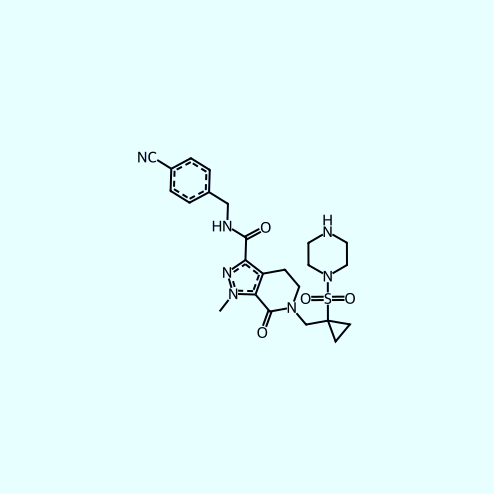 Cn1nc(C(=O)NCc2ccc(C#N)cc2)c2c1C(=O)N(CC1(S(=O)(=O)N3CCNCC3)CC1)CC2